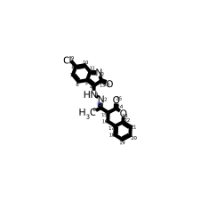 C/C(=N\NC1=c2ccc(Cl)cc2=NC1=O)C1Cc2ccccc2OC1=O